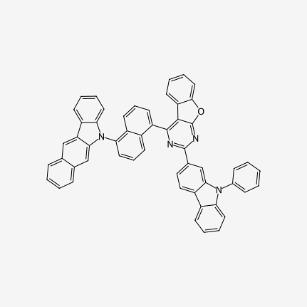 c1ccc(-n2c3ccccc3c3ccc(-c4nc(-c5cccc6c(-n7c8ccccc8c8cc9ccccc9cc87)cccc56)c5c(n4)oc4ccccc45)cc32)cc1